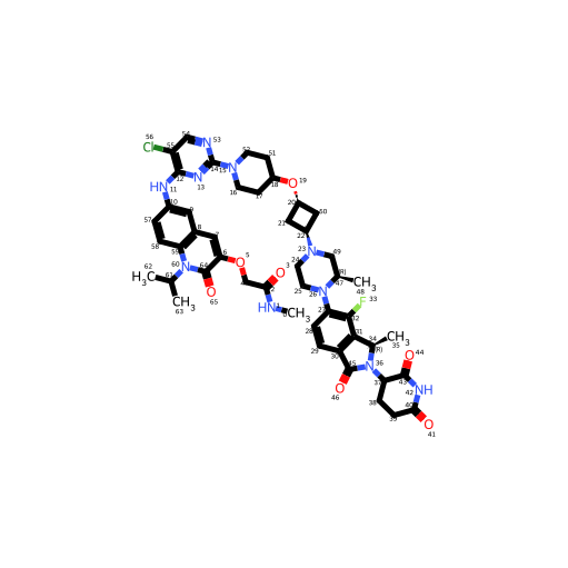 CNC(=O)COc1cc2cc(Nc3nc(N4CCC(O[C@H]5C[C@H](N6CCN(c7ccc8c(c7F)[C@@H](C)N(C7CCC(=O)NC7=O)C8=O)[C@H](C)C6)C5)CC4)ncc3Cl)ccc2n(C(C)C)c1=O